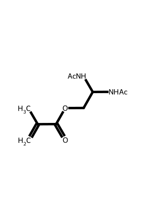 C=C(C)C(=O)OCC(NC(C)=O)NC(C)=O